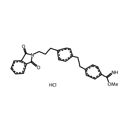 COC(=N)c1ccc(CCc2ccc(CCCN3C(=O)c4ccccc4C3=O)cc2)cc1.Cl